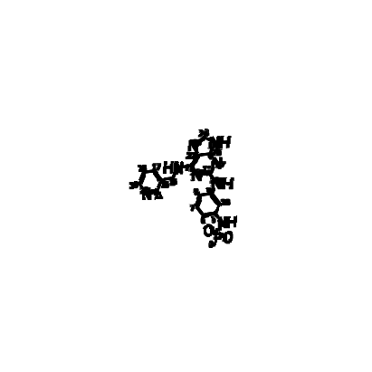 CS(=O)(=O)Nc1cccc(Nc2nc(NCc3cccnc3)c3nc[nH]c3n2)c1